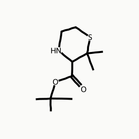 CC(C)(C)OC(=O)C1NCCSC1(C)C